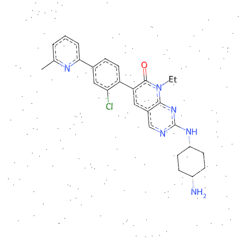 CCn1c(=O)c(-c2ccc(-c3cccc(C)n3)cc2Cl)cc2cnc(N[C@H]3CC[C@@H](N)CC3)nc21